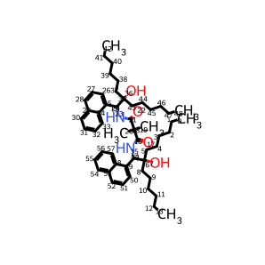 CCCCCCC(O)(CCCCCC)[C@@H](NC(=O)C(C)(C)C(=O)N[C@@H](c1cccc2ccccc12)C(O)(CCCCCC)CCCCCC)c1cccc2ccccc12